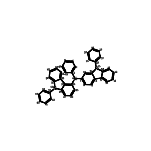 c1ccc(N(c2ccc3c4ccccc4n(-c4ccccc4)c3c2)c2cccc3c2c2ccccc2n3-c2ccccc2)cc1